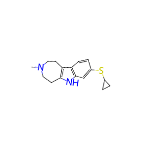 CN1CCc2[nH]c3cc(SC4CC4)ccc3c2CC1